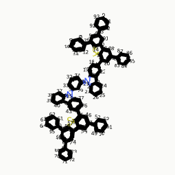 c1ccc(-c2cc(-c3ccccc3)c3sc4c(-c5ccc6c(c5)c5ccccc5n6-c5cccc(-n6c7ccccc7c7cc(-c8cc(-c9ccccc9)cc9c8sc8c(-c%10ccccc%10)cc(-c%10ccccc%10)cc89)ccc76)c5)cc(-c5ccccc5)cc4c3c2)cc1